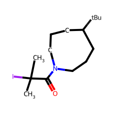 CC(C)(I)C(=O)N1CCCC(C(C)(C)C)CCC1